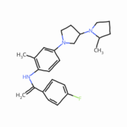 C=C(Nc1ccc(N2CCC(N3CCCC3C)C2)cc1C)c1ccc(F)cc1